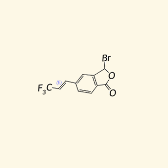 O=C1OC(Br)c2cc(/C=C/C(F)(F)F)ccc21